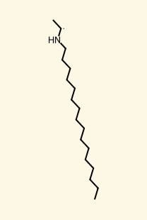 C[CH]NCCCCCCCCCCCCCCCC